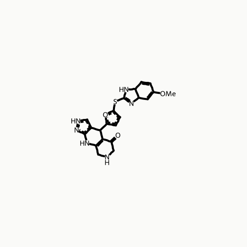 COC1=CC2N=C(Sc3ccc(C4C5=C(CNCC5=O)Nc5n[nH]cc54)o3)NC2C=C1